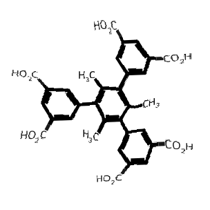 Cc1c(-c2cc(C(=O)O)cc(C(=O)O)c2)c(C)c(-c2cc(C(=O)O)cc(C(=O)O)c2)c(C)c1-c1cc(C(=O)O)cc(C(=O)O)c1